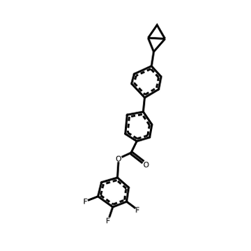 O=C(Oc1cc(F)c(F)c(F)c1)c1ccc(-c2ccc(C3C4CC43)cc2)cc1